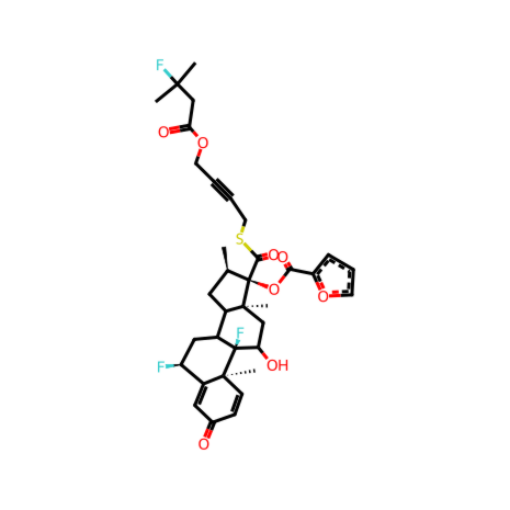 C[C@@H]1CC2C3C[C@H](F)C4=CC(=O)C=C[C@]4(C)[C@@]3(F)C(O)C[C@]2(C)[C@@]1(OC(=O)c1ccco1)C(=O)SCC#CCOC(=O)CC(C)(C)F